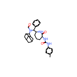 Cc1ccc(NC(=O)NC2CCCC(C(c3ccccc3)N(C=O)C3C4CC5CC(C4)CC3C5)NC2=O)cc1